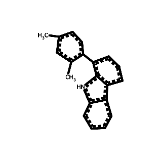 Cc1ccc(-c2cccc3c2[nH]c2ccccc23)c(C)c1